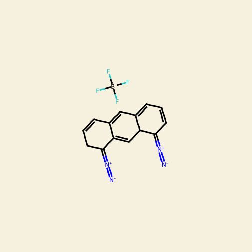 F[B-](F)(F)F.[N-]=[N+]=C1CC=CC2=CC3=CC=CC(=[N+]=[N-])C3C=C21